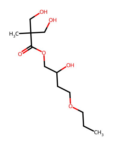 CCCOCCC(O)COC(=O)C(C)(CO)CO